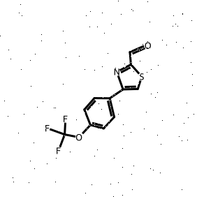 O=Cc1nc(-c2ccc(OC(F)(F)F)cc2)cs1